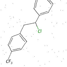 FC(F)(F)c1ccc(CC(Cl)c2ccccc2)cc1